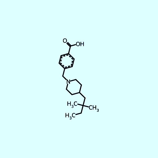 CCC(C)(C)CC1CCN(Cc2ccc(C(=O)O)cc2)CC1